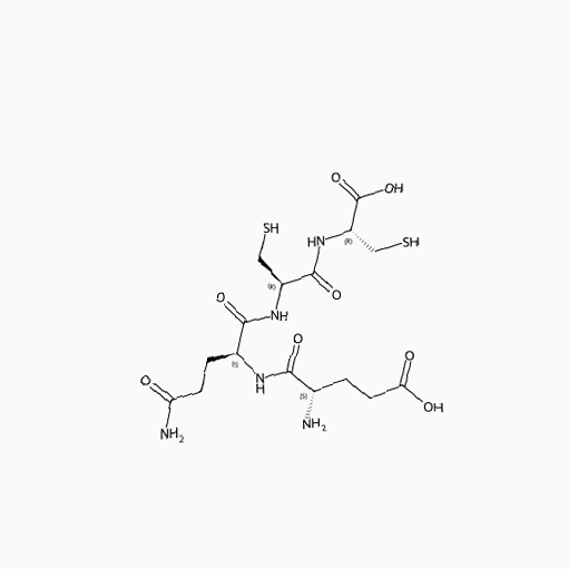 NC(=O)CC[C@H](NC(=O)[C@@H](N)CCC(=O)O)C(=O)N[C@@H](CS)C(=O)N[C@@H](CS)C(=O)O